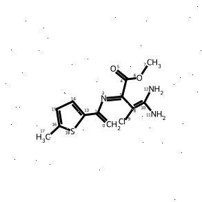 C=C(/N=C(/C(=O)OC)C(Cl)=C(N)N)c1ccc(C)s1